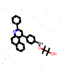 CC(C)(O)C(C)(C)OBc1ccc(-c2cc(-c3ccccc3)nc3ccc4ccccc4c23)cc1